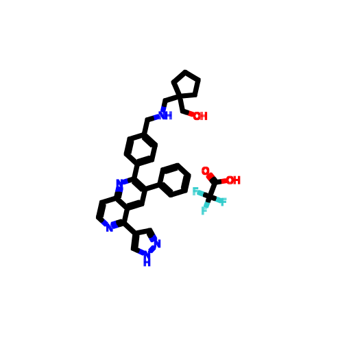 O=C(O)C(F)(F)F.OCC1(CNCc2ccc(-c3nc4ccnc(-c5cn[nH]c5)c4cc3-c3ccccc3)cc2)CCCC1